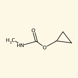 CNC(=O)O[C]1CC1